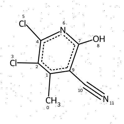 Cc1c(Cl)c(Cl)nc(O)c1C#N